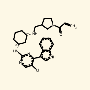 C=CC(=O)N1CCC(CN[C@H]2CCC[C@@H](Nc3ncc(Cl)c(-c4c[nH]c5ccccc45)n3)C2)C1